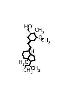 CC[C@H](C)C1CC[C@H]2/C(=C/C=C3/C[C@@H](CO)[C@H](C)[C@H](OC)C3)CCC[C@]12C